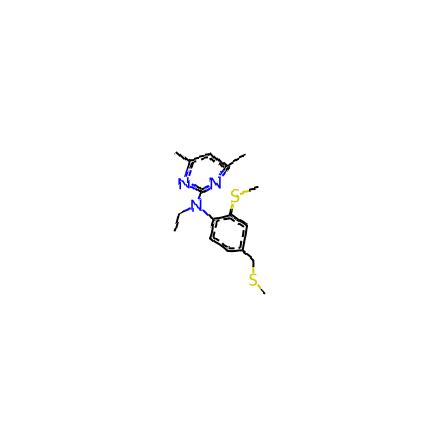 CCN(c1nc(C)cc(C)n1)c1ccc(CSC)cc1SC